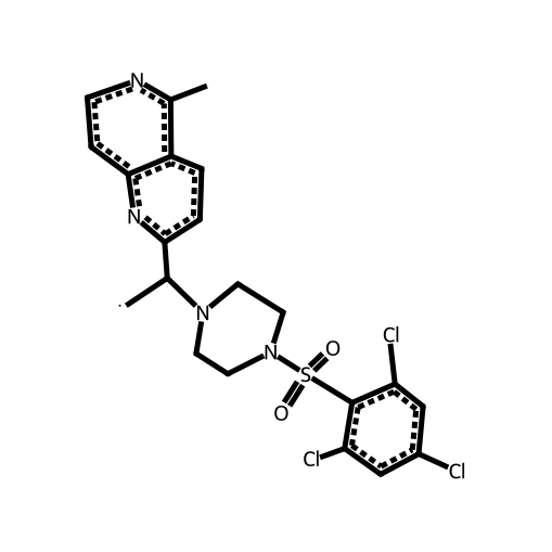 [CH2]C(c1ccc2c(C)nccc2n1)N1CCN(S(=O)(=O)c2c(Cl)cc(Cl)cc2Cl)CC1